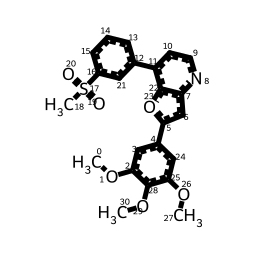 COc1cc(-c2cc3nccc(-c4cccc(S(C)(=O)=O)c4)c3o2)cc(OC)c1OC